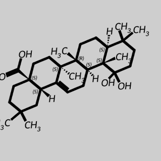 CC1(C)CC[C@]2(C(=O)O)CC[C@]3(C)C(=CC[C@@H]4[C@]5(C)[C@@H](CC[C@]43C)C(C)(C)CCC5(O)O)[C@@H]2C1